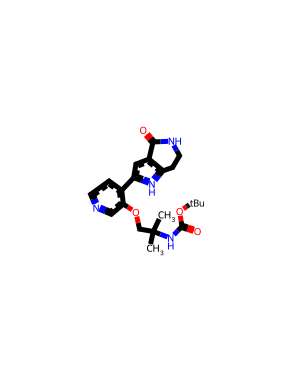 CC(C)(COc1cnccc1-c1cc2c([nH]1)CCNC2=O)NC(=O)OC(C)(C)C